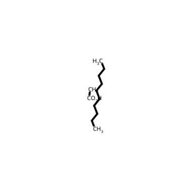 CC(=O)O.CCCCCCCCCC